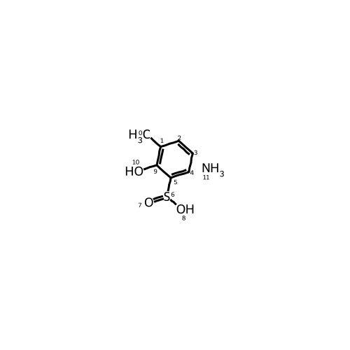 Cc1cccc(S(=O)O)c1O.N